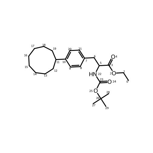 CCOC(=O)C(Cc1ccc(C2CCCCCCCC2)cc1)NC(=O)OC(C)(C)C